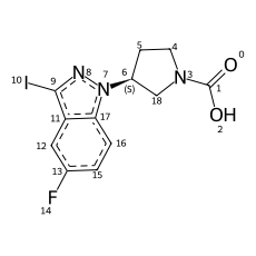 O=C(O)N1CC[C@H](n2nc(I)c3cc(F)ccc32)C1